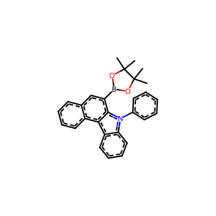 CC1(C)OB(c2cc3ccccc3c3c4ccccc4n(-c4ccccc4)c23)OC1(C)C